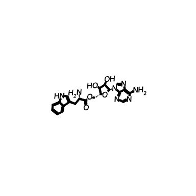 Nc1ncnc2c1ncn2[C@@H]1O[C@H](COC(=O)[C@@H](N)Cc2c[nH]c3ccccc23)C(O)C1O